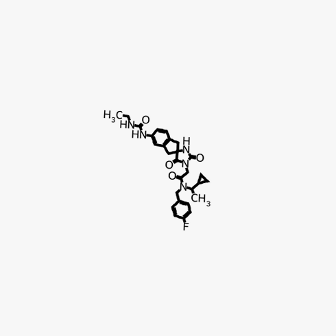 CCNC(=O)Nc1ccc2c(c1)CC1(C2)NC(=O)N(CC(=O)N(Cc2ccc(F)cc2)C(C)C2CC2)C1=O